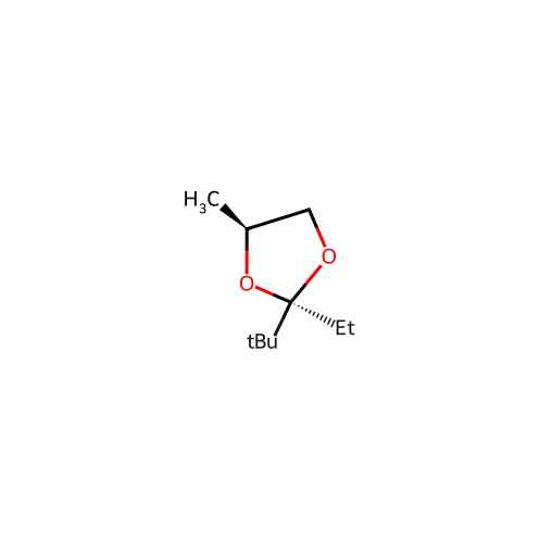 CC[C@@]1(C(C)(C)C)OC[C@H](C)O1